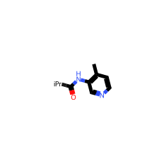 Cc1ccncc1NC(=O)C(C)C